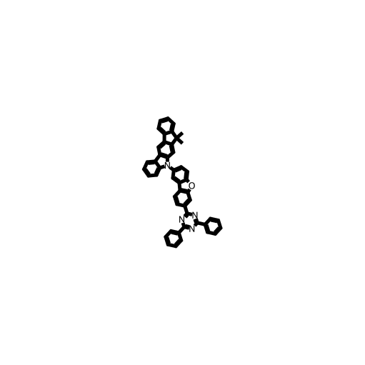 CC1(C)c2ccccc2-c2cc3c4ccccc4n(-c4ccc5oc6cc(-c7nc(-c8ccccc8)nc(-c8ccccc8)n7)ccc6c5c4)c3cc21